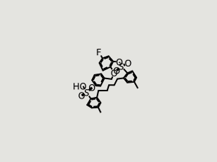 Cc1ccc(S(=O)(=O)O)c(CCCCCc2cc(C)ccc2S(=O)(=O)Oc2cc(F)ccc2OCc2ccccc2)c1